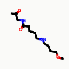 COCCCCNCCCCC(=O)NCC(C)=O